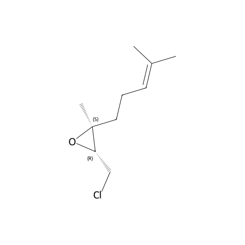 CC(C)=CCC[C@]1(C)O[C@H]1CCl